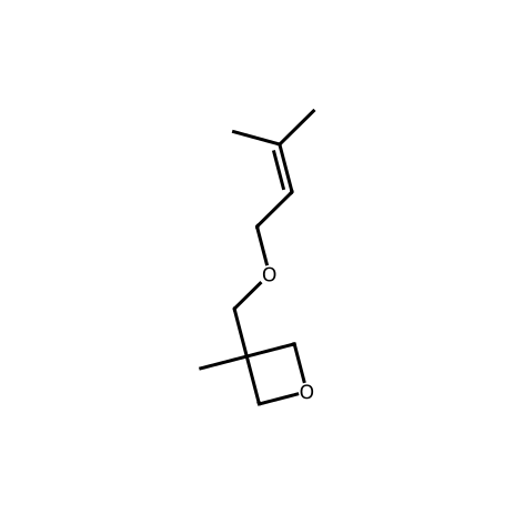 CC(C)=CCOCC1(C)COC1